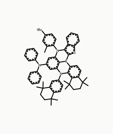 Cc1cc(C(C)(C)C)ccc1N1c2cc(N(c3ccccc3)c3ccccc3)cc3c2B(c2ccc4c(c2N3c2ccc3c(c2)C(C)(C)CCC3(C)C)C(C)(C)CCC4(C)C)c2sc3ccccc3c21